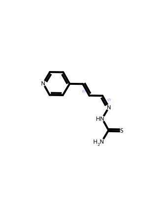 NC(=S)N/N=C\C=C\c1ccncc1